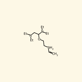 C=C[SiH2]CCOC(CN(CC)CC)N(CC)CC